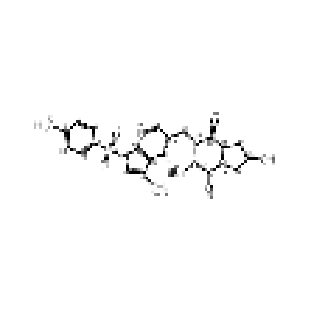 Cc1ccc(S(=O)(=O)n2cc(C)c3nc(CNC(=O)C4CC(O)CN4C(=O)OC(C)(C)C)cnc32)cc1